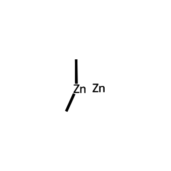 [CH3][Zn][CH3].[Zn]